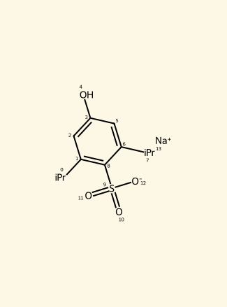 CC(C)c1cc(O)cc(C(C)C)c1S(=O)(=O)[O-].[Na+]